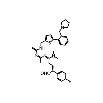 C=C(/N=C(C)\N=C(/C/C=C(\C=O)c1ccc(F)cc1)N(C)C)NCc1ccc(-c2ccccc2CN2CCCC2)s1